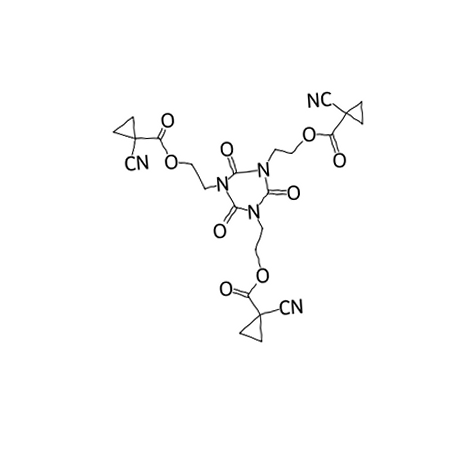 N#CC1(C(=O)OCCn2c(=O)n(CCOC(=O)C3(C#N)CC3)c(=O)n(CCOC(=O)C3(C#N)CC3)c2=O)CC1